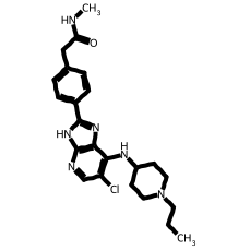 CCCN1CCC(Nc2c(Cl)cnc3[nH]c(-c4ccc(CC(=O)NC)cc4)nc23)CC1